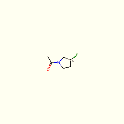 CC(=O)N1CC[C@H](F)C1